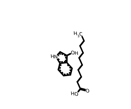 CCCCCCCCCC(=O)O.Oc1c[nH]c2ccccc12